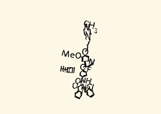 COc1cc2c(Oc3ccc(NC(=O)c4nn(-c5ccccc5Cl)c5ccccc5c4=O)cc3F)ccnc2cc1OCCCN1CCN(C)CC1.Cl.Cl